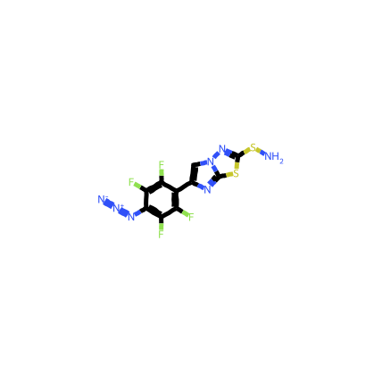 [N-]=[N+]=Nc1c(F)c(F)c(-c2cn3nc(SN)sc3n2)c(F)c1F